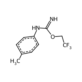 Cc1ccc(NC(=N)OCC(F)(F)F)cc1